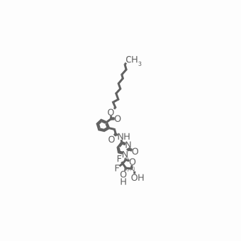 CCCCCCCCCCCOC(=O)c1ccccc1CC(=O)Nc1ccn([C@@H]2O[C@H](CO)[C@@H](O)C2(F)F)c(=O)n1